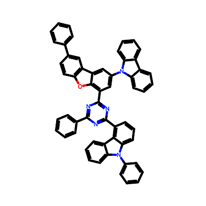 c1ccc(-c2ccc3oc4c(-c5nc(-c6ccccc6)nc(-c6cccc7c6c6ccccc6n7-c6ccccc6)n5)cc(-n5c6ccccc6c6ccccc65)cc4c3c2)cc1